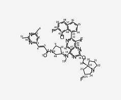 Cc1cc(C=CC(=O)N2CC[C@@H](N(C)c3nc(OC[C@@]45CCCN4C[C@H](F)C5)nc4c(F)c(-c5cccc6ccc(F)c(Cl)c56)ncc34)C2)nc(C)n1